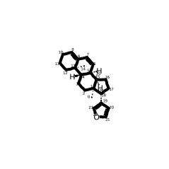 C[C@]12CC[C@H]3[C@@H](C=CC4=CCCC[C@@]43C)[C@H]1CC[C@@H]2c1ccoc1